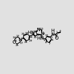 C=CC(=O)Nc1cccc(Nc2ncnc3[nH]c(-c4ccc(N5CCOCC5)cc4)cc23)c1